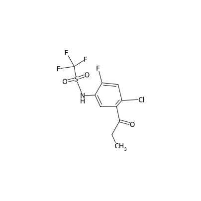 CCC(=O)c1cc(NS(=O)(=O)C(F)(F)F)c(F)cc1Cl